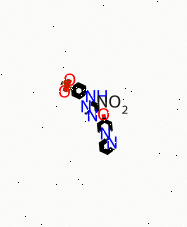 CS(=O)(=O)c1ccc(Nc2ncnc(OC3CCN(c4ccccn4)CC3)c2[N+](=O)[O-])cc1